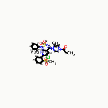 C=CC(=O)N1CCN(C2=NS(=O)(=O)N(c3ccccc3CCCC)c3nc(-c4ccccc4S(C)(=O)=O)c(Cl)cc32)C(C)C1